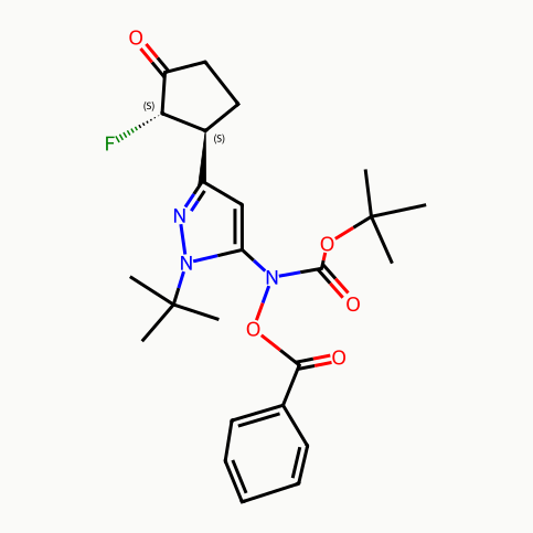 CC(C)(C)OC(=O)N(OC(=O)c1ccccc1)c1cc([C@@H]2CCC(=O)[C@H]2F)nn1C(C)(C)C